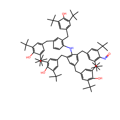 CC(C)(C)c1cc(Cc2ccc(Nc3c(Cc4cc(C(C)(C)C)c(O)c(C(C)(C)C)c4)cc(Cc4cc(C(C)(C)C)c(O)c(C(C)(C)C)c4)cc3Cc3cc(C(C)(C)C)c(N=O)c(C(C)(C)C)c3)c(Cc3cc(C(C)(C)C)c(O)c(C(C)(C)C)c3)c2)cc(C(C)(C)C)c1O